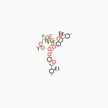 C=C(C)C(=O)OCCC(F)(F)OC(F)(F)OC(F)(F)CCOC(COc1ccc2c(c1)OCC(c1ccc(C)cc1CC)=C2)COc1ccc2cc(-c3ccc(C)cc3CC)c(=O)oc2c1